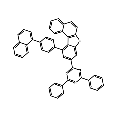 c1ccc(-c2nc(-c3ccccc3)nc(-c3cc(-c4ccc(-c5cccc6ccccc56)cc4)c4c(c3)oc3ccc5ccccc5c34)n2)cc1